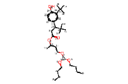 CCCCOB(OCCCC)OCCC(C)OC(=O)CC(c1ccc(O)c(C(C)(C)C)c1)C(C)(C)C